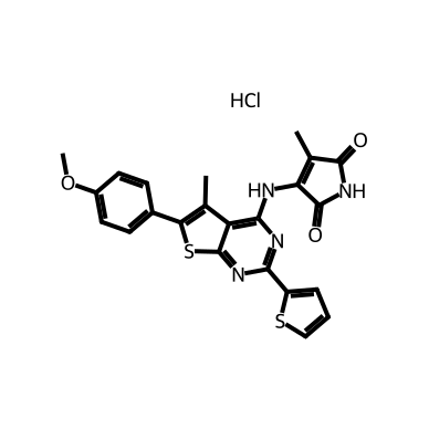 COc1ccc(-c2sc3nc(-c4cccs4)nc(NC4=C(C)C(=O)NC4=O)c3c2C)cc1.Cl